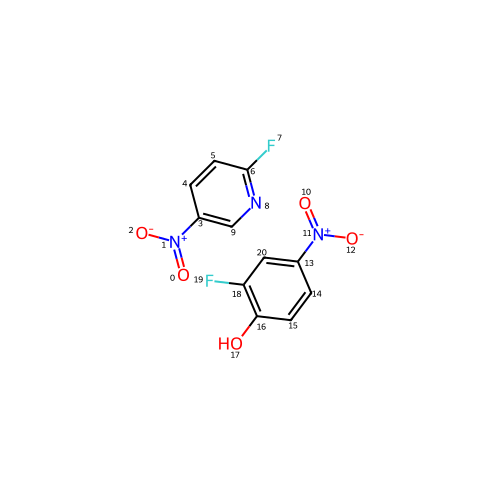 O=[N+]([O-])c1ccc(F)nc1.O=[N+]([O-])c1ccc(O)c(F)c1